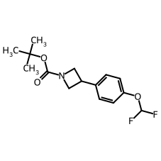 CC(C)(C)OC(=O)N1CC(c2ccc(OC(F)F)cc2)C1